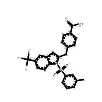 Cc1cccc(S(=O)(=O)n2c(Cc3ccc(C(=O)O)cc3)cc3cc(C(F)(F)F)ccc32)c1